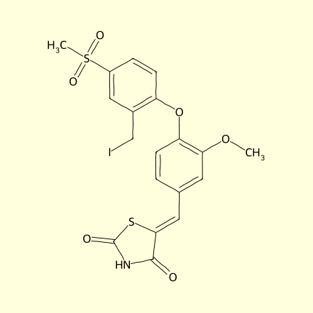 COc1cc(/C=C2\SC(=O)NC2=O)ccc1Oc1ccc(S(C)(=O)=O)cc1CI